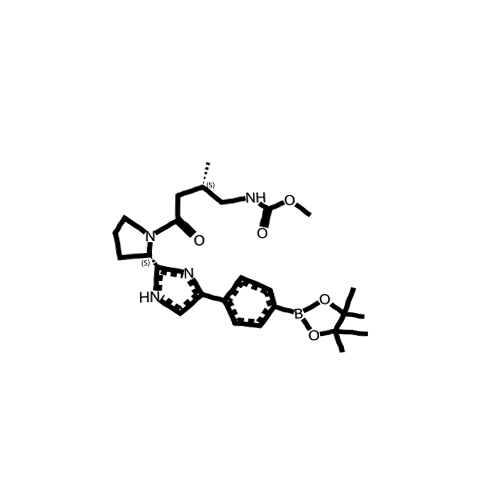 COC(=O)NC[C@@H](C)CC(=O)N1CCC[C@H]1c1nc(-c2ccc(B3OC(C)(C)C(C)(C)O3)cc2)c[nH]1